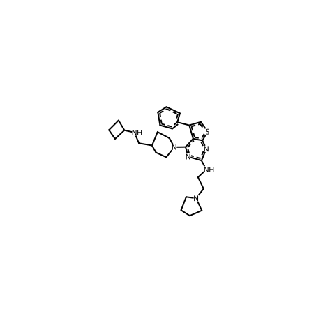 c1ccc(-c2csc3nc(NCCN4CCCC4)nc(N4CCC(CNC5CCC5)CC4)c23)cc1